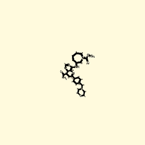 CC(C)(C)OC(=O)N1CCCCC(Nc2ncnc3c(C(N)=O)cc(-c4ccc(CN5CCOCC5)cc4)nc23)C1